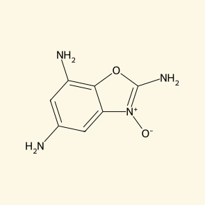 Nc1cc(N)c2oc(N)[n+]([O-])c2c1